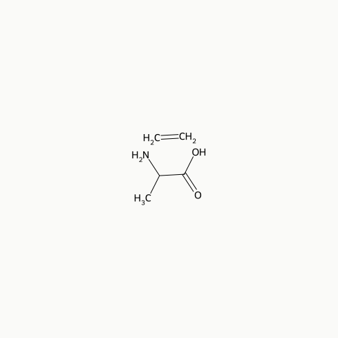 C=C.CC(N)C(=O)O